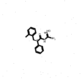 Cc1ccccc1C[C@@H](C(=O)NC(=N)N)c1ccccc1.Cl